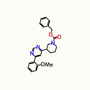 COc1ccccc1-c1cc(C2CCCN(C(=O)OCc3ccccc3)C2)ncn1